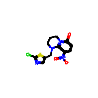 O=c1ccc([N+](=O)[O-])c2n1CCCN2Cc1cnc(Cl)s1